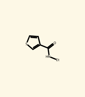 CCNC(=O)c1ccsc1